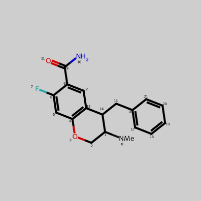 CNC1COc2cc(F)c(C(N)=O)cc2C1Cc1ccccc1